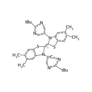 Cc1cc2c(cc1C)N(c1cnc(C(C)(C)C)nc1)/C(=C1\Sc3cc(C)c(C)cc3N1c1cnc(C(C)(C)C)nc1)S2